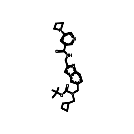 CC(C)(C)OC(=O)N(Cc1ccc2nc(CNC(=O)c3cncc(N4CCC4)c3)cn2c1)CC1CCC1